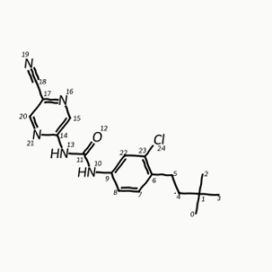 CC(C)(C)[CH]Cc1ccc(NC(=O)Nc2cnc(C#N)cn2)cc1Cl